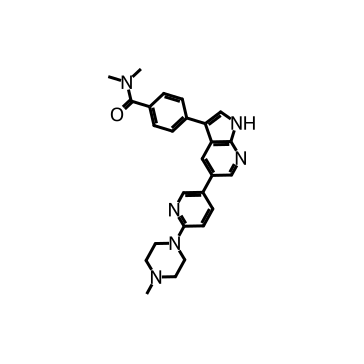 CN1CCN(c2ccc(-c3cnc4[nH]cc(-c5ccc(C(=O)N(C)C)cc5)c4c3)cn2)CC1